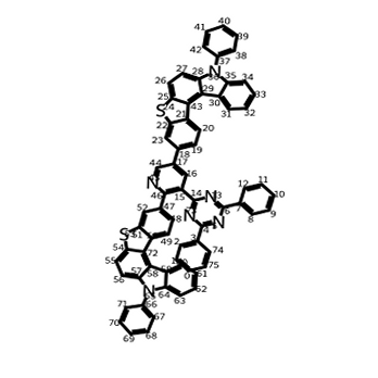 c1ccc(-c2nc(-c3ccccc3)nc(-c3cc(-c4ccc5c(c4)sc4ccc6c(c7ccccc7n6-c6ccccc6)c45)cnc3-c3ccc4c(c3)sc3ccc5c(c6ccccc6n5-c5ccccc5)c34)n2)cc1